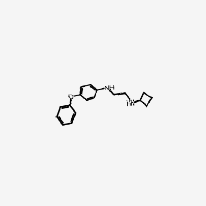 c1ccc(Oc2ccc(NCCNC3CCC3)cc2)cc1